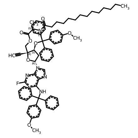 C#C[C@]1(COC(=O)[C@H](C)NC(=O)CCCCCCCCCCCCC)O[C@@H](n2cnc3c(NC(c4ccccc4)(c4ccccc4)c4ccc(OC)cc4)nc(F)nc32)C[C@@H]1OC(c1ccccc1)(c1ccccc1)c1ccc(OC)cc1